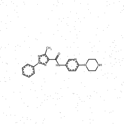 Cc1nn(-c2ccccc2)nc1C(=O)Nc1ccc(N2CCNCC2)nc1